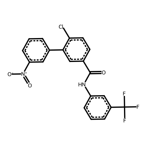 O=C(Nc1cccc(C(F)(F)F)c1)c1ccc(Cl)c(-c2cccc([N+](=O)[O-])c2)c1